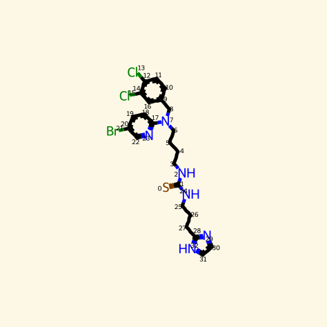 S=C(NCCCCN(Cc1ccc(Cl)c(Cl)c1)c1ccc(Br)cn1)NCCCc1ncc[nH]1